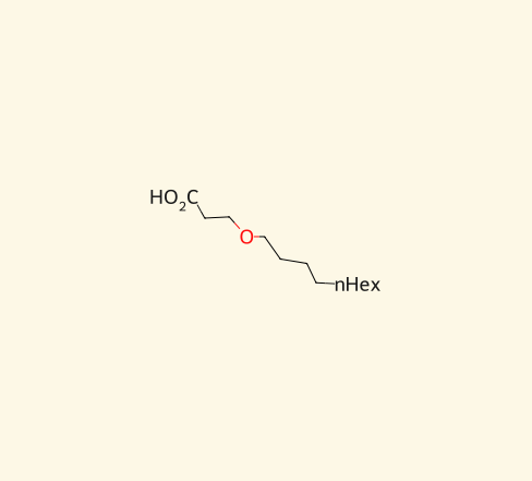 CCCCCCCCCCOCCC(=O)O